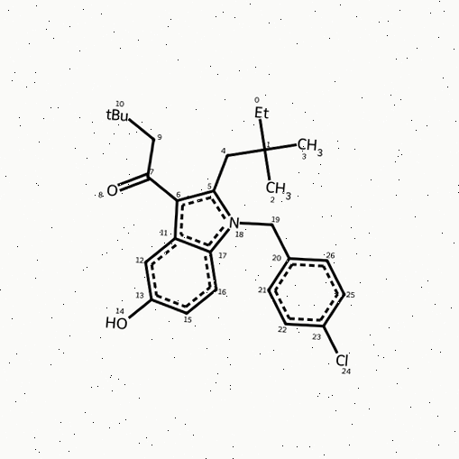 CCC(C)(C)Cc1c(C(=O)CC(C)(C)C)c2cc(O)ccc2n1Cc1ccc(Cl)cc1